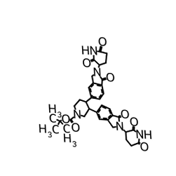 CC(C)(C)OC(=O)N1CCC(c2ccc3c(c2)CN(C2CCC(=O)NC2=O)C3=O)C(c2ccc3c(c2)CN(C2CCC(=O)NC2=O)C3=O)C1